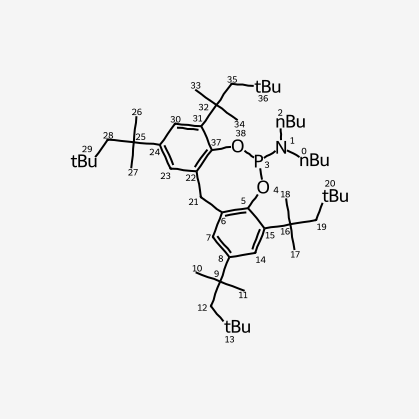 CCCCN(CCCC)P1Oc2c(cc(C(C)(C)CC(C)(C)C)cc2C(C)(C)CC(C)(C)C)Cc2cc(C(C)(C)CC(C)(C)C)cc(C(C)(C)CC(C)(C)C)c2O1